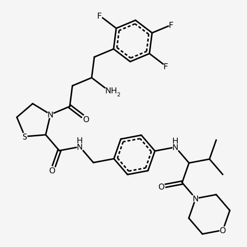 CC(C)C(Nc1ccc(CNC(=O)C2SCCN2C(=O)CC(N)Cc2cc(F)c(F)cc2F)cc1)C(=O)N1CCOCC1